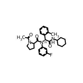 CC(=O)N1CCCC1C(=O)N(c1cccc(F)c1)[C@H](C(=O)NC1CCCCC1)c1ccccc1C